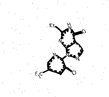 CCc1nc2c(cnn2-c2ncc(C(F)(F)F)cc2Cl)c(=O)[nH]1